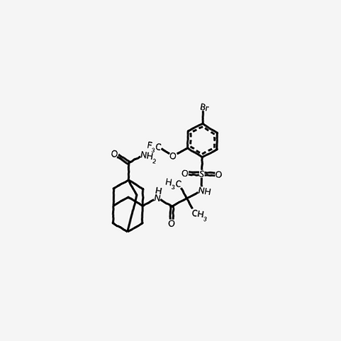 CC(C)(NS(=O)(=O)c1ccc(Br)cc1OC(F)(F)F)C(=O)NC12CC3CC(C1)CC(C(N)=O)(C3)C2